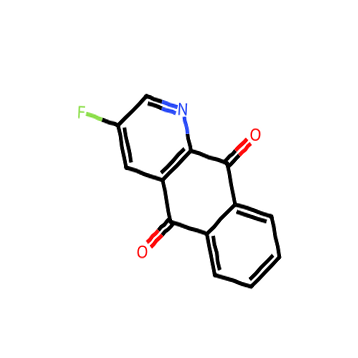 O=C1c2ccccc2C(=O)c2ncc(F)cc21